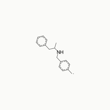 [CH2]c1ccc(CNC(C)Cc2ccccc2)cc1